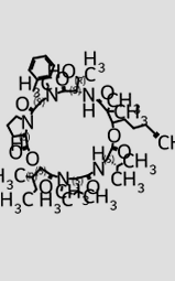 C#CCCCC1OC(=O)[C@H](C(C)C)NC(=O)[C@H](C(C)C)N(C)C(=O)[C@H]([C@H](C)CC)OC(=O)[C@@H]2CCCN2C(=O)[C@H](Cc2ccccc2)N(C)C(=O)[C@H]([C@@H](C)O)NC(=O)C1(C)C